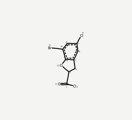 O=C(Cl)C1Cc2cc(Cl)cc(Br)c2O1